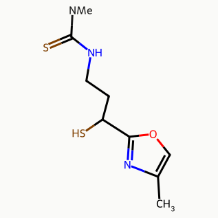 CNC(=S)NCCC(S)c1nc(C)co1